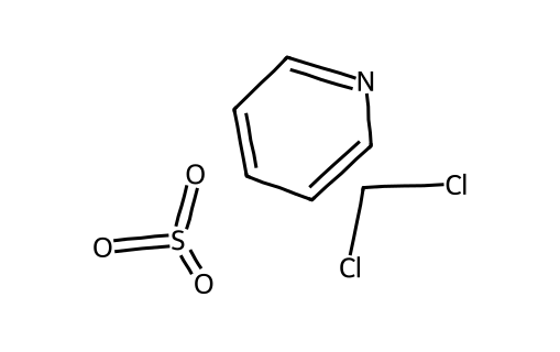 ClCCl.O=S(=O)=O.c1ccncc1